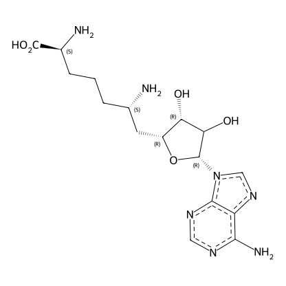 Nc1ncnc2c1ncn2[C@@H]1O[C@H](C[C@@H](N)CCC[C@H](N)C(=O)O)[C@H](O)C1O